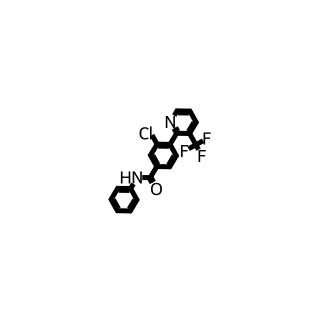 O=C(Nc1ccccc1)c1ccc(-c2ncccc2C(F)(F)F)c(Cl)c1